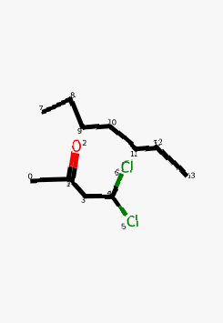 CC(=O)CC(Cl)Cl.CCCCCCC